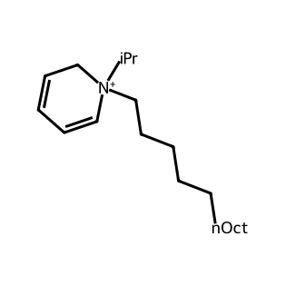 CCCCCCCCCCCCC[N+]1(C(C)C)C=CC=CC1